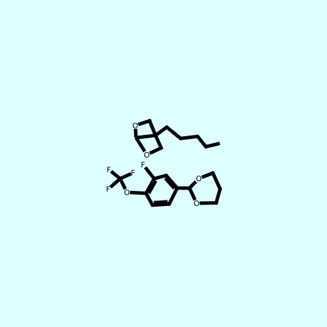 CCCCCC12COC1OC2.Fc1cc(C2OCCCO2)ccc1OC(F)(F)F